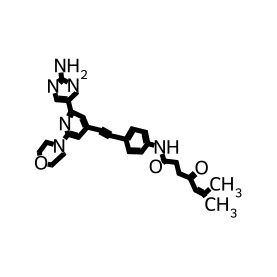 CC(C)=CC(=O)CCC(=O)Nc1ccc(C#Cc2cc(-c3cnc(N)nc3)nc(N3CCOCC3)c2)cc1